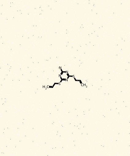 C=CCSc1nc([N])nc(SCC=C)n1